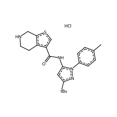 Cc1ccc(-n2nc(C(C)(C)C)cc2NC(=O)c2csc3c2CCNC3)cc1.Cl